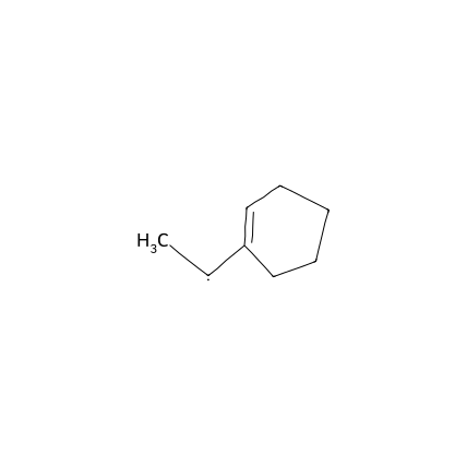 C[CH]C1=CCCCC1